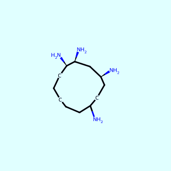 NC1CCCCC[C@@H](N)[C@@H](N)C[C@@H](N)CC1